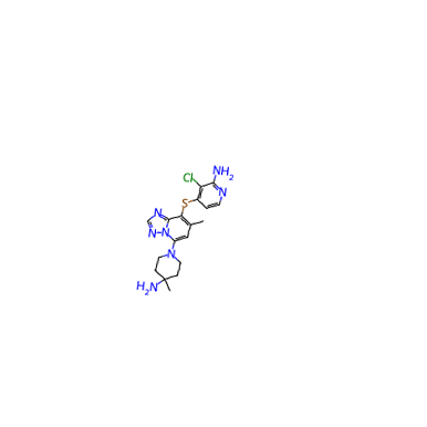 Cc1cc(N2CCC(C)(N)CC2)n2ncnc2c1Sc1ccnc(N)c1Cl